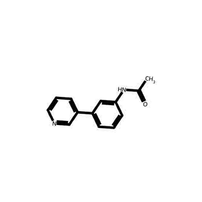 CC(=O)Nc1c[c]cc(-c2cccnc2)c1